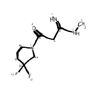 CNC(=N)CC(=O)N1CCC(F)(F)C1